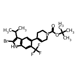 CC(C)c1c(Br)[nH]c2cc(C(F)(F)F)c(C3=CCN(C(=O)OC(C)(C)C)CC3)cc12